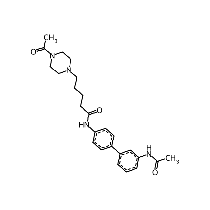 CC(=O)Nc1cccc(-c2ccc(NC(=O)CCCCN3CCN(C(C)=O)CC3)cc2)c1